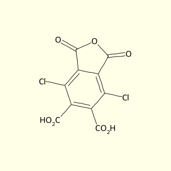 O=C(O)c1c(Cl)c2c(c(Cl)c1C(=O)O)C(=O)OC2=O